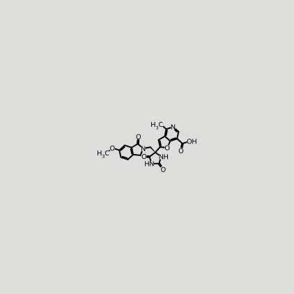 COc1ccc2c(c1)C(=O)N(C[C@@]1(c3cc4c(C)ncc(C(=O)O)c4o3)NC(=O)NC1=O)C2